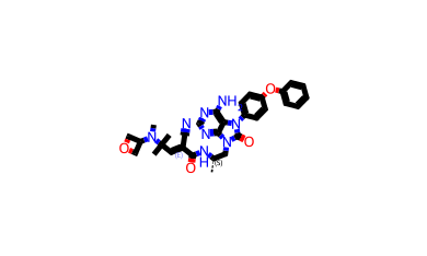 C[C@@H](Cn1c(=O)n(-c2ccc(Oc3ccccc3)cc2)c2c(N)ncnc21)NC(=O)/C(C#N)=C/C(C)(C)N(C)C1COC1